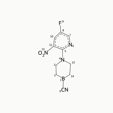 N#CB1CCN(c2ncc(F)cc2[N+](=O)[O-])CC1